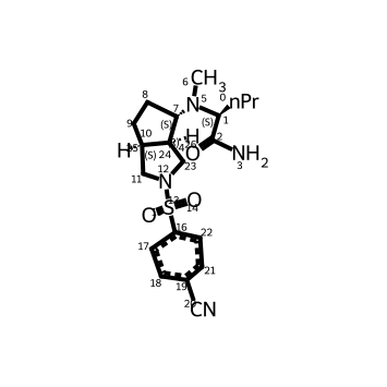 CCC[C@@H](C(N)=O)N(C)[C@H]1CC[C@@H]2CN(S(=O)(=O)c3ccc(C#N)cc3)C[C@@H]21